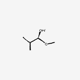 CO[C@H](O)C(C)C